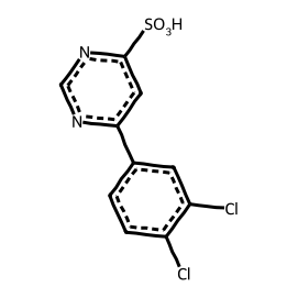 O=S(=O)(O)c1cc(-c2ccc(Cl)c(Cl)c2)ncn1